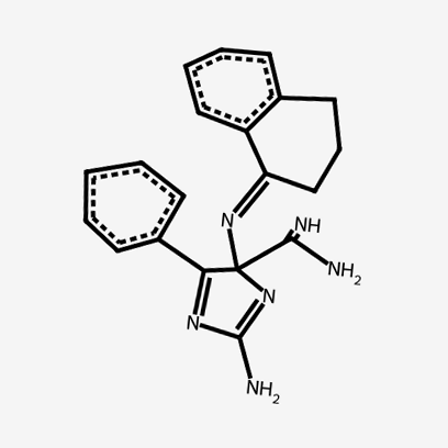 N=C(N)C1(N=C2CCCc3ccccc32)N=C(N)N=C1c1ccccc1